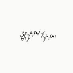 CC(CCO)CC(C)CCOCCCCC(C)(C)CC(=O)O